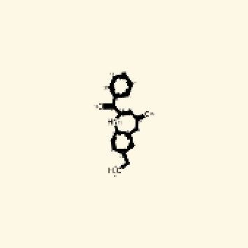 CCc1ccc2c(c1)CC(=O)C=C(C(=O)c1ccccc1)N2